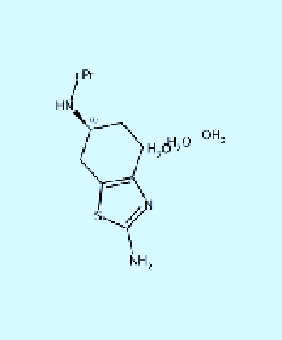 CCCN[C@H]1CCc2nc(N)sc2C1.O.O.O